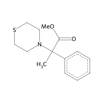 COC(=O)C(C)(c1ccccc1)N1CCSCC1